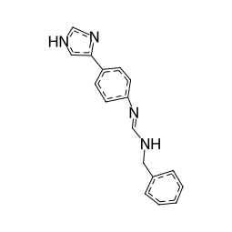 C(=N\c1ccc(-c2c[nH]cn2)cc1)/NCc1ccccc1